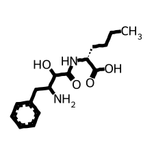 CCCC[C@@H](NC(=O)C(O)C(N)Cc1ccccc1)C(=O)O